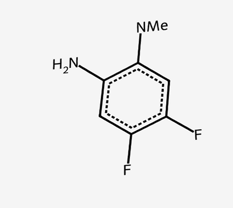 CNc1cc(F)c(F)cc1N